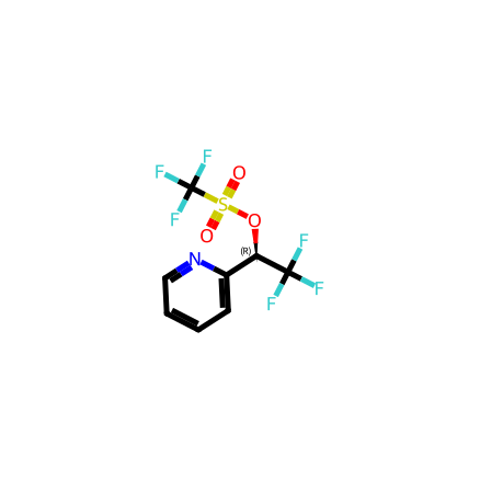 O=S(=O)(O[C@H](c1ccccn1)C(F)(F)F)C(F)(F)F